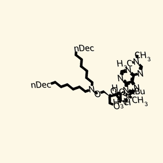 CCCCCCCCCCCCCCCCN(CCCCCCCCCCCCCCCC)OC[C@@]12CO[C@@H]([C@H](n3cnc4c(/N=C\N(C)C)ncnc43)O1)[C@@H]2O[Si](C)(C)C(C)(C)C